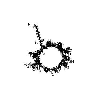 CCCCCCCCCCCC(=O)NCCCC[C@@H]1NC(=O)[C@H](C(C)(C)C)NC(=O)[C@H](Cc2ccc(O)cc2)NC(=O)[C@@H](NC(=O)[C@H](CCC)NC(C)=O)CSCc2cccc(c2)CSC[C@@H](C(N)=O)NC(=O)CN(C)C(=O)[C@H](Cc2ccc(F)cc2)N(C)C(=O)[C@H](Cc2ccc(O)cc2)NC(=O)[C@H](Cc2c[nH]c3ncccc23)NC(=O)[C@H](c2ccccc2)NC(=O)[C@H](C)N(C)C(=O)[C@H](Cc2cnc[nH]2)NC1=O